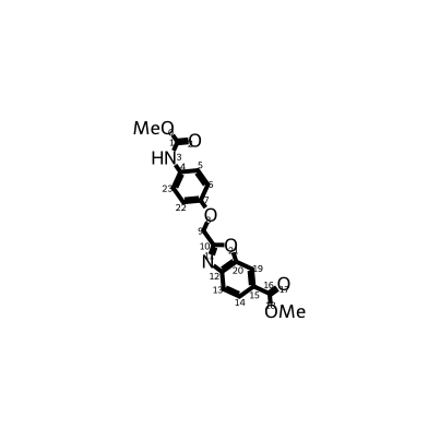 COC(=O)Nc1ccc(OCc2nc3ccc(C(=O)OC)cc3o2)cc1